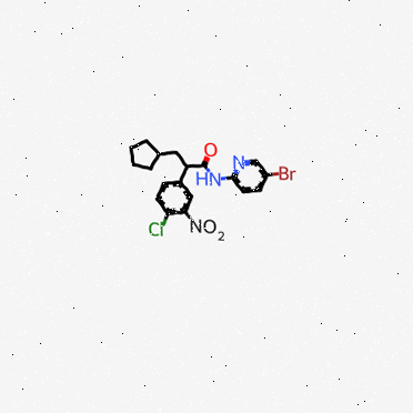 O=C(Nc1ccc(Br)cn1)C(CC1CCCC1)c1ccc(Cl)c([N+](=O)[O-])c1